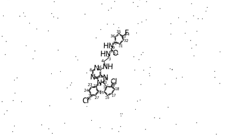 O=C(NCCNc1ncnc2c1nc(-c1ccccc1Cl)n2-c1ccc(Cl)cc1)Nc1ccc(F)cc1